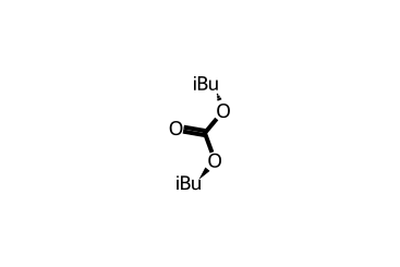 C[CH][C@@H](C)OC(=O)O[C@H](C)CC